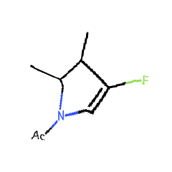 CC(=O)N1C=C(F)C(C)C1C